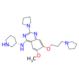 COc1cc2c(N[C@H]3CCCNC3)nc(N3CCCC3)nc2cc1OCCCN1CCCC1